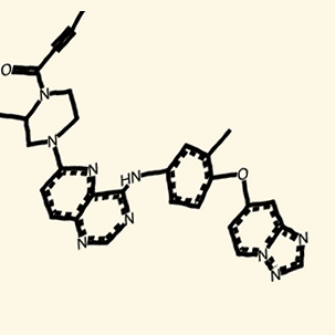 CC#CC(=O)N1CCN(c2ccc3ncnc(Nc4ccc(Oc5ccn6ncnc6c5)c(C)c4)c3n2)CC1C